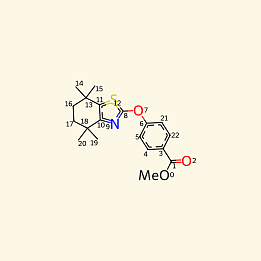 COC(=O)c1ccc(Oc2nc3c(s2)C(C)(C)CCC3(C)C)cc1